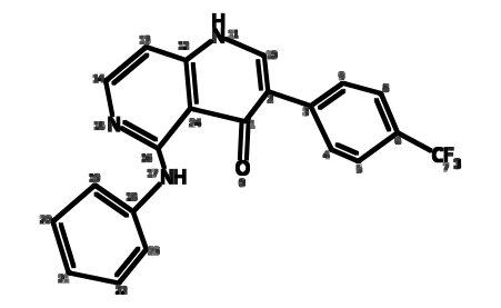 O=c1c(-c2ccc(C(F)(F)F)cc2)c[nH]c2ccnc(Nc3ccccc3)c12